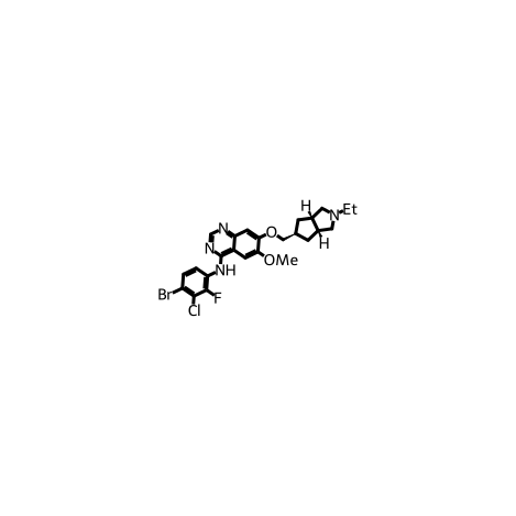 CCN1C[C@H]2C[C@H](COc3cc4ncnc(Nc5ccc(Br)c(Cl)c5F)c4cc3OC)C[C@H]2C1